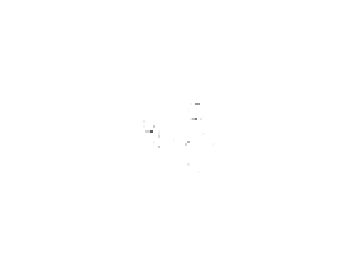 COC(=O)C1=C(CN2CCOCC2C(=O)O)N=C(c2nccs2)NC1c1ccc(F)cc1Cl.CS(=O)(=O)O